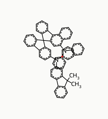 CC1(C)c2ccccc2-c2ccc(N(c3ccccc3)c3ccc4c(c3)C3(c5ccccc5-4)c4ccccc4-c4c3cc(N(c3ccccc3)c3ccccc3)c3ccccc43)cc21